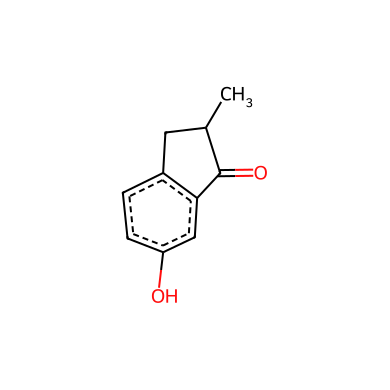 CC1Cc2ccc(O)cc2C1=O